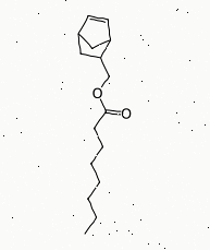 CCCCCCCC(=O)OCC1CC2C=CC1C2